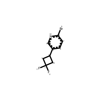 FC1(F)CC(c2ccc(Br)nc2)C1